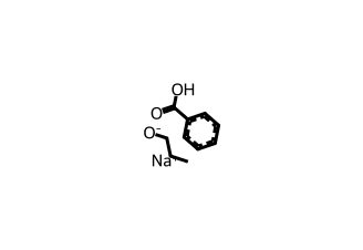 CCC[O-].O=C(O)c1ccccc1.[Na+]